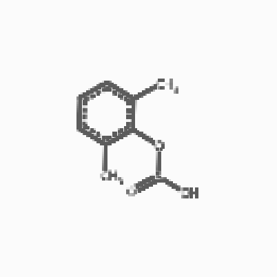 Cc1cccc(C)c1OS(=O)O